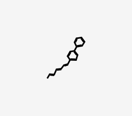 C/C=C/C=C/C=C/c1ccc(-c2ccccc2)cc1